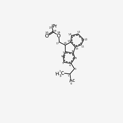 CC(=O)C(C)Cc1ccc2c(c1)-c1ccccc1C2COC(=O)C(C)C